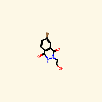 O=c1[nH]n(CCO)c(=O)c2cc(Br)ccc12